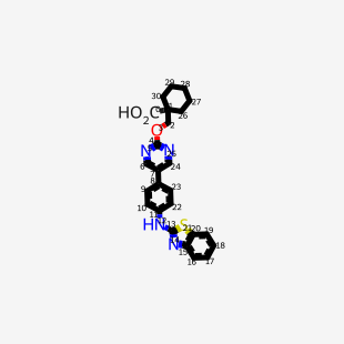 O=C(O)C1(COc2ncc(-c3ccc(Nc4nc5ccccc5s4)cc3)cn2)CCCCC1